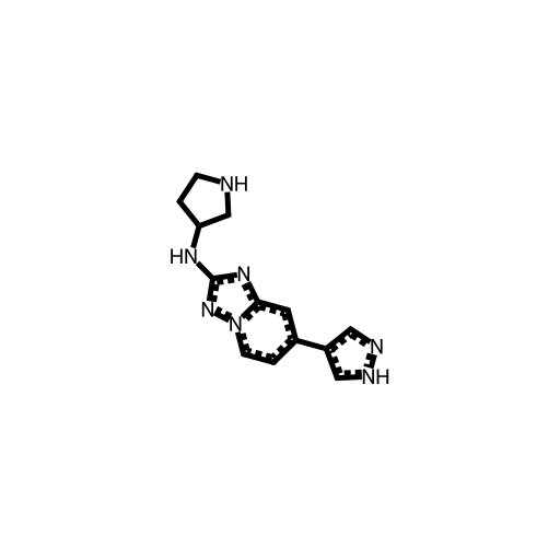 c1cn2nc(NC3CCNC3)nc2cc1-c1cn[nH]c1